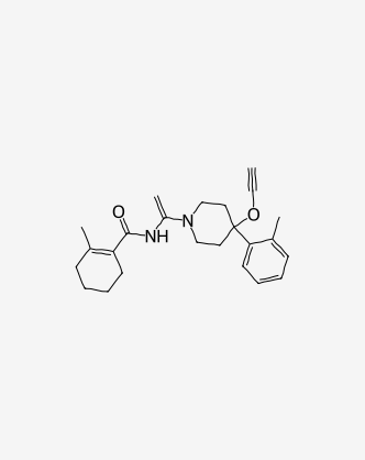 C#COC1(c2ccccc2C)CCN(C(=C)NC(=O)C2=C(C)CCCC2)CC1